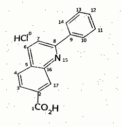 Cl.O=C(O)c1ccc2ccc(-c3ccccc3)nc2c1